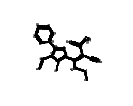 CCSC(=C(C#N)C(=O)O)c1cc(-c2ccccc2)n(CC)c1C